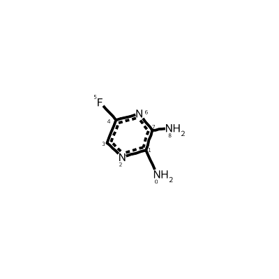 Nc1ncc(F)nc1N